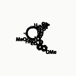 COC[C@@H]1C[C@H](C)CC/C=C\[C@@H]2C[C@@]2(C(=O)NS(=O)(=O)C2(C)CC2)NC(=O)[C@@H]2C[C@@H](Oc3nccc4cc(OC)ccc34)CN2C(=O)[C@H]1NC(=O)O